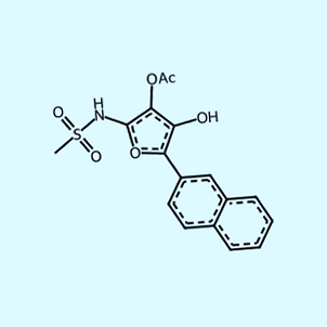 CC(=O)Oc1c(NS(C)(=O)=O)oc(-c2ccc3ccccc3c2)c1O